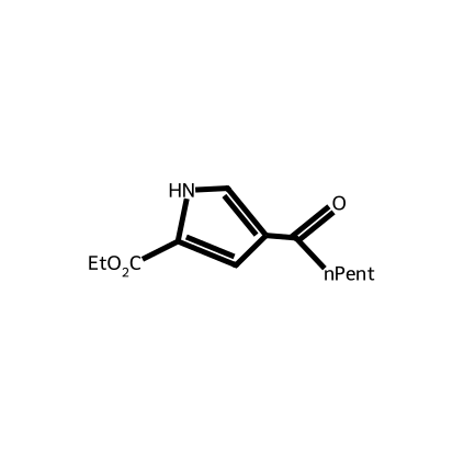 CCCCCC(=O)c1c[nH]c(C(=O)OCC)c1